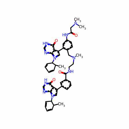 CC1C=CC=CC1n1cc(-c2cccc(C(=O)NCCN(C)Cc3ccc(NC(=O)CN(C)C)cc3-c3cn(C4C=CC=CC4C)c4nc[nH]c(=O)c34)c2)c2c(=O)[nH]cnc21